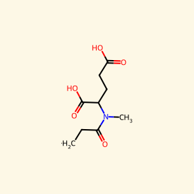 [CH2]CC(=O)N(C)C(CCC(=O)O)C(=O)O